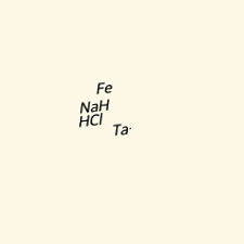 Cl.[Fe].[NaH].[Ta]